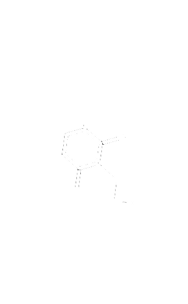 CCCCCSn1c(=O)cc[nH]c1=O